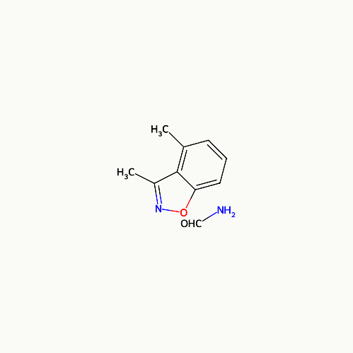 Cc1cccc2onc(C)c12.NC=O